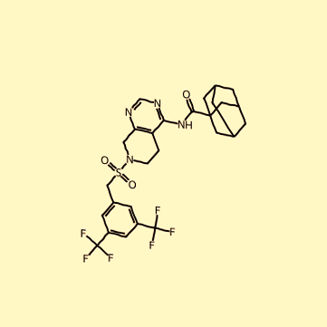 O=C(Nc1ncnc2c1CCN(S(=O)(=O)Cc1cc(C(F)(F)F)cc(C(F)(F)F)c1)C2)C12CC3CC(CC(C3)C1)C2